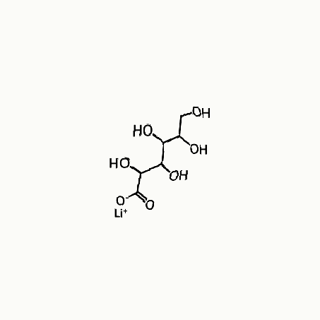 O=C([O-])C(O)C(O)C(O)C(O)CO.[Li+]